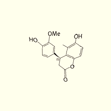 COc1cc([C@@H]2CC(=O)Oc3ccc(O)c(C)c32)ccc1O